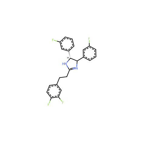 Fc1cccc(C2N=C(CCc3ccc(F)c(F)c3)N[C@@H]2c2cccc(F)c2)c1